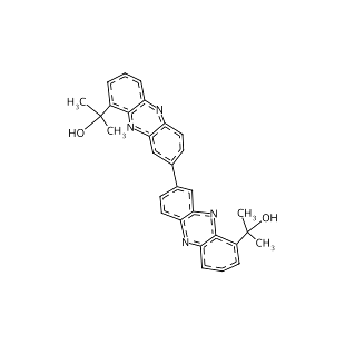 CC(C)(O)c1cccc2nc3ccc(-c4ccc5nc6cccc(C(C)(C)O)c6nc5c4)cc3nc12